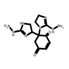 NNC1=NC(C2(N3CCN=C3NN)CC(=O)C=CC2=O)CN1